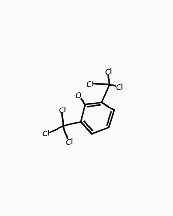 [O]c1c(C(Cl)(Cl)Cl)cccc1C(Cl)(Cl)Cl